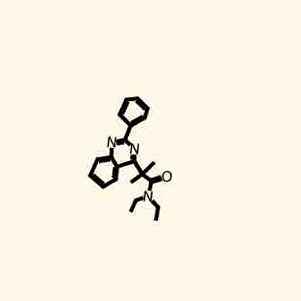 CCN(CC)C(=O)C(C)(C)c1nc(-c2ccccc2)nc2ccccc12